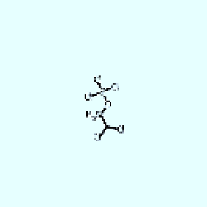 ClC(Cl)[SiH2]O[Si](Cl)(Cl)Cl